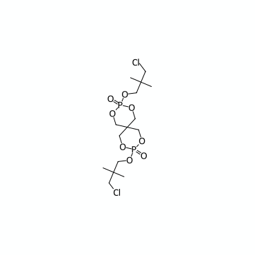 CC(C)(CCl)COP1(=O)OCC2(CO1)COP(=O)(OCC(C)(C)CCl)OC2